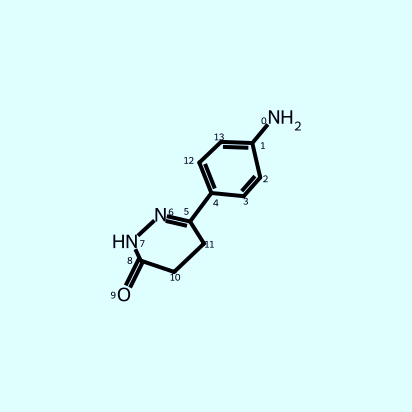 Nc1ccc(C2=NNC(=O)CC2)cc1